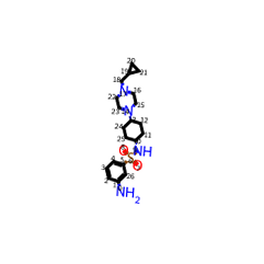 Nc1cccc(S(=O)(=O)N[C@H]2CC[C@H](N3CCN(CC4CC4)CC3)CC2)c1